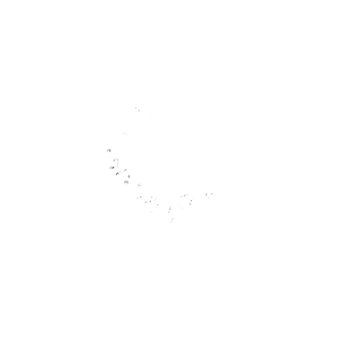 COc1ccc2c(CC(=O)N[C@@H](CC(=O)O)C(=O)O[C@@H]3CC[C@@]4(C)[C@H](CC[C@@H]5[C@@H]4CC[C@]4(C)C([C@H](C)CCC(=O)OCCN)CC[C@@H]54)C3)cc(=O)oc2c1